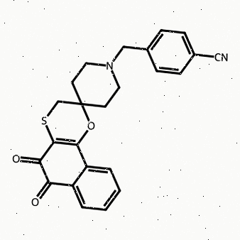 N#Cc1ccc(CN2CCC3(CC2)CSC2=C(O3)c3ccccc3C(=O)C2=O)cc1